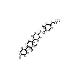 CCOCc1ccc(OCC2CCC(c3ccc(-c4ccc(C)cc4)c(F)c3F)CC2)c(F)c1